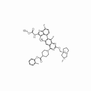 Cc1ccccc1OC(=O)C1CCN(c2nc(OC[C@@]34CCCN3C[C@H](F)C4)nc3c(F)c(-c4ccc(F)c5sc(NC(=O)OC(C)(C)C)c(C#N)c45)c(Cl)cc23)CC1